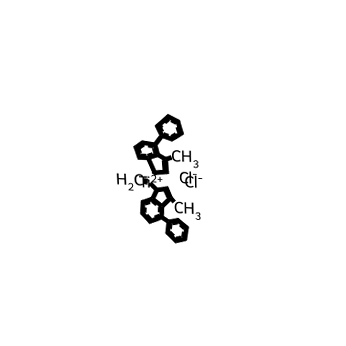 [CH2]=[Ti+2]([CH]1C=C(C)c2c(-c3ccccc3)cccc21)[CH]1C=C(C)c2c(-c3ccccc3)cccc21.[Cl-].[Cl-]